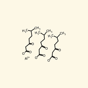 CC(C)CCC(=O)CC(=O)[O-].CC(C)CCC(=O)CC(=O)[O-].CC(C)CCC(=O)CC(=O)[O-].[Al+3]